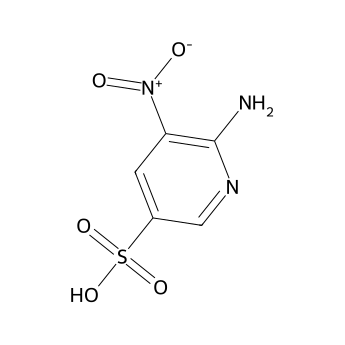 Nc1ncc(S(=O)(=O)O)cc1[N+](=O)[O-]